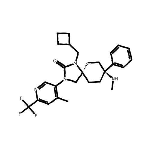 CN[C@]1(c2ccccc2)CC[C@]2(CC1)CN(c1cnc(C(F)(F)F)cc1C)C(=O)N2CC1CCC1